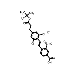 CC(C)(C)OC(=O)CCc1cc(Cl)c(C=Cc2ccc(C(=O)O)cc2[N+](=O)[O-])c(Cl)c1.[K+]